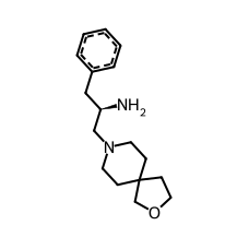 N[C@H](Cc1ccccc1)CN1CCC2(CCOC2)CC1